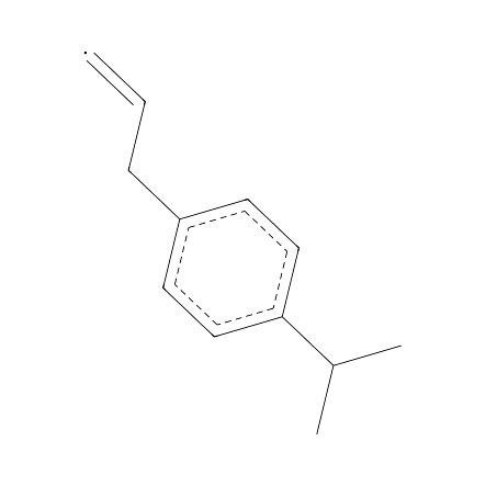 [CH]=CCc1ccc(C(C)C)cc1